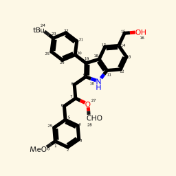 COc1cccc(CC(Cc2[nH]c3ccc(CO)cc3c2-c2ccc(C(C)(C)C)cc2)OC=O)c1